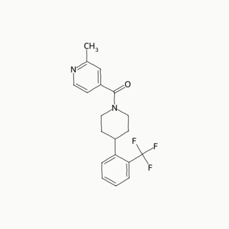 Cc1cc(C(=O)N2CCC(c3ccccc3C(F)(F)F)CC2)ccn1